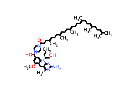 CCC[C@@H](CO)Nc1nc(N)nc(C)c1Cc1ccc(C(O)N2CCN(C(=O)CC/C(C)=C/CC/C(C)=C/CC/C(C)=C/CC/C=C(\C)CC/C=C(\C)CCC=C(C)C)CC2)cc1OC